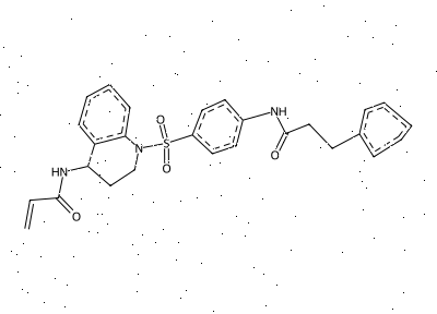 C=CC(=O)NC1CCN(S(=O)(=O)c2ccc(NC(=O)CCc3ccccc3)cc2)c2ccccc21